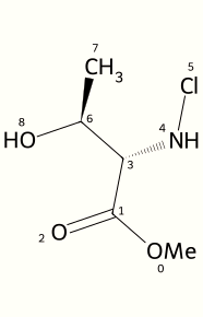 COC(=O)[C@@H](NCl)[C@H](C)O